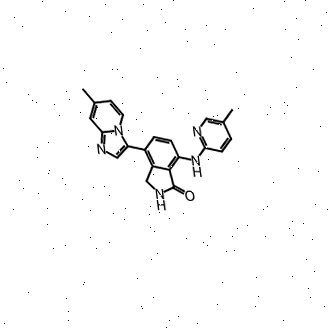 Cc1ccc(Nc2ccc(-c3cnc4cc(C)ccn34)c3c2C(=O)NC3)nc1